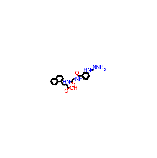 NN=CNc1cccc(C(=O)NCC(=O)NC(Cc2cccc3ccccc23)C(=O)O)c1